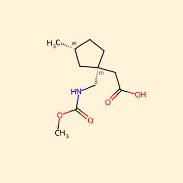 COC(=O)NC[C@@]1(CC(=O)O)CC[C@@H](C)C1